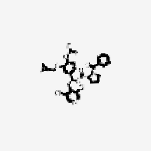 O=C(O[C@@H](Cc1c(Cl)cncc1Cl)c1ccc(OC(F)F)c(OCC2CC2)c1)[C@H]1CCCN1C(=O)c1ccccc1